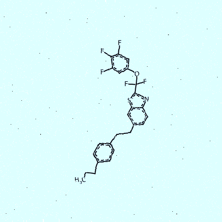 CCCc1ccc(CCc2ccc3nc(C(F)(F)Oc4cc(F)c(F)c(F)c4)sc3c2)cc1